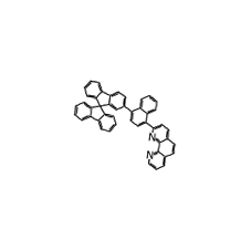 c1ccc2c(c1)-c1ccccc1C21c2ccccc2-c2ccc(-c3ccc(-c4ccc5ccc6cccnc6c5n4)c4ccccc34)cc21